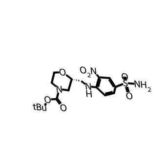 CC(C)(C)OC(=O)N1CCO[C@H](CNc2ccc(S(N)(=O)=O)cc2[N+](=O)[O-])C1